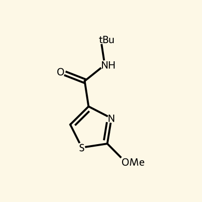 COc1nc(C(=O)NC(C)(C)C)cs1